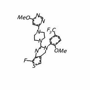 COc1cc(N2CCN(C3=Nc4c(csc4F)CN3c3cc(C(F)(F)F)ccc3OC)CC2)ncn1